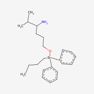 CCCC[Si](OCCCC(N)C(C)C)(c1ccccc1)c1ccccc1